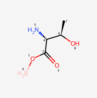 BOC(=O)[C@@H](N)[C@@H](C)O